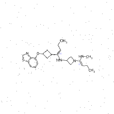 CC/C=C(/NC1CN(/C(=C/CC)NC)C1)C1CC(Oc2cccc3scnc23)C1